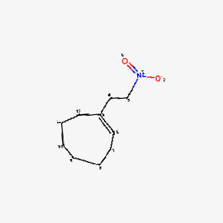 O=[N+]([O-])CCC1=CCCCCCC1